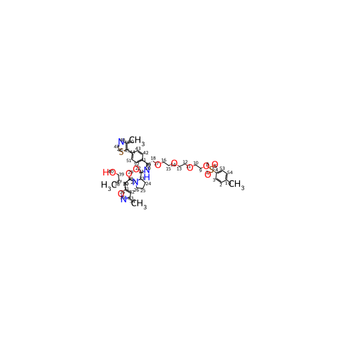 Cc1ccc(S(=O)(=O)OCCOCCOCCOC[C@H](NC(=O)C2CCCN2C(=O)[C@H](c2cc(C)no2)C(C)CO)c2ccc(-c3scnc3C)cc2)cc1